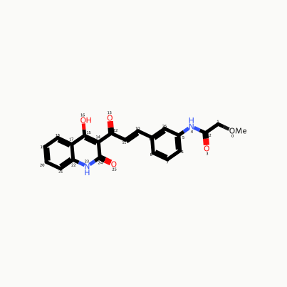 COCC(=O)Nc1cccc(/C=C/C(=O)c2c(O)c3ccccc3[nH]c2=O)c1